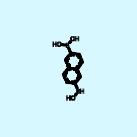 OBc1ccc2cc(B(O)O)ccc2c1